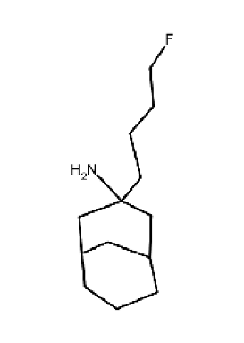 NC1(CCCCF)CC2CCCC(C2)C1